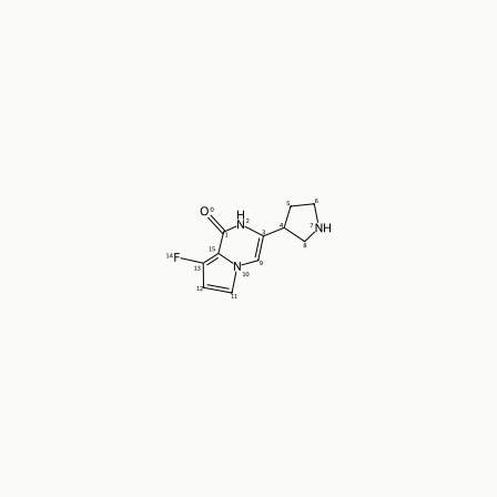 O=c1[nH]c(C2CCNC2)cn2ccc(F)c12